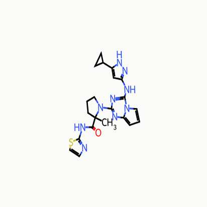 CC1(C(=O)Nc2nccs2)CCCN1c1nc(Nc2cc(C3CC3)[nH]n2)n2cccc2n1